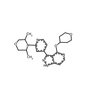 CC1COCC(C)N1c1cc(-c2n[nH]c3ccnc(OC4CCOCC4)c23)ccn1